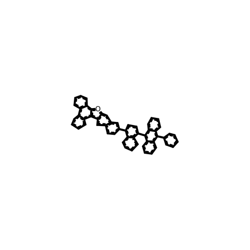 c1ccc(-c2c3ccccc3c(-c3ccc(-c4ccc5cc6c(cc5c4)oc4c5ccccc5c5ccccc5c64)c4ccccc34)c3ccccc23)cc1